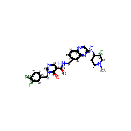 CCN1CCC(Nc2cnc3ccc(CNC(=O)c4cncn(Cc5ccc(F)c(F)c5)c4=O)cc3n2)[C@@H](F)C1